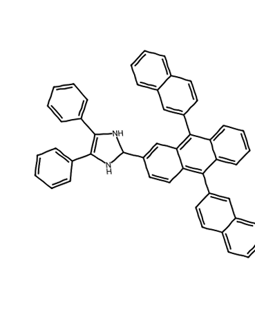 c1ccc(C2=C(c3ccccc3)NC(c3ccc4c(-c5ccc6ccccc6c5)c5ccccc5c(-c5ccc6ccccc6c5)c4c3)N2)cc1